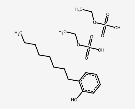 CCCCCCCCc1ccccc1O.CCOS(=O)(=O)O.CCOS(=O)(=O)O